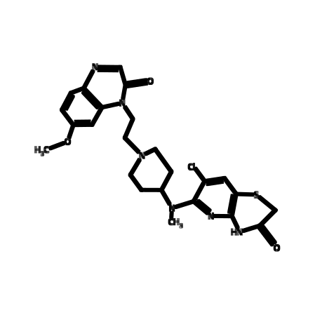 COc1ccc2ncc(=O)n(CCN3CCC(N(C)c4nc5c(cc4Cl)SCC(=O)N5)CC3)c2c1